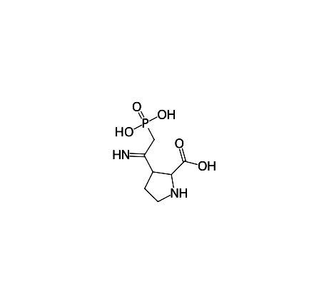 N=C(CP(=O)(O)O)C1CCNC1C(=O)O